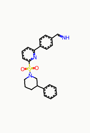 N=Cc1ccc(-c2cccc(S(=O)(=O)N3CCCC(c4ccccc4)C3)n2)cc1